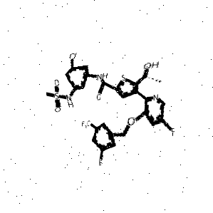 C[C@@H](O)c1sc(C(=O)Nc2cc(Cl)cc(NS(C)(=O)=O)c2)cc1-c1ncc(F)cc1OCc1cc(F)cc(C(F)(F)F)c1